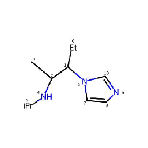 CCC(C(C)NC(C)C)n1ccnc1